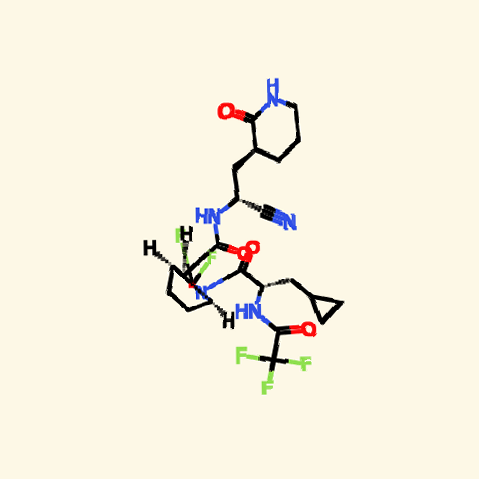 N#C[C@@H](C[C@@H]1CCCNC1=O)NC(=O)[C@@H]1[C@@H]2CC[C@@H](CC2(F)F)N1C(=O)[C@H](CC1CC1)NC(=O)C(F)(F)F